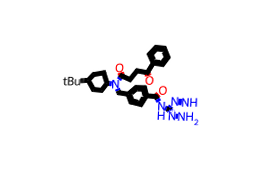 CC(C)(C)C1CCC(N(Cc2ccc(C(=O)N/C(N=N)=N/N)cc2)C(=O)CCC(=O)c2ccccc2)CC1